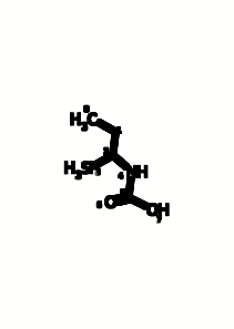 CCC([SiH3])NC(=O)O